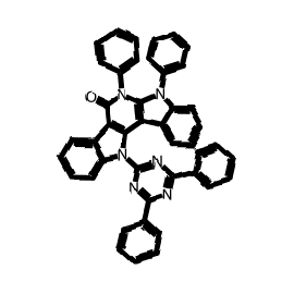 O=c1c2c3ccccc3n(-c3nc(-c4ccccc4)nc(-c4ccccc4)n3)c2c2c3ccccc3n(-c3ccccc3)c2n1-c1ccccc1